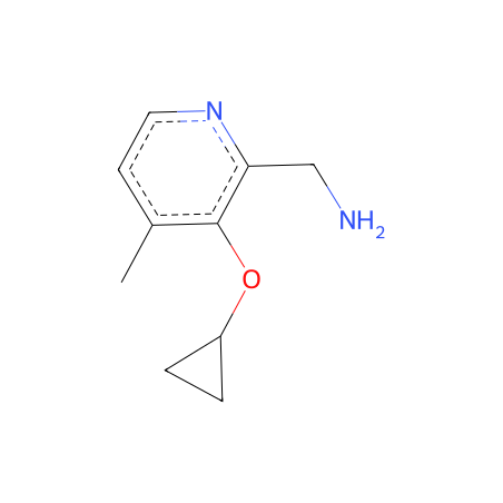 Cc1ccnc(CN)c1OC1CC1